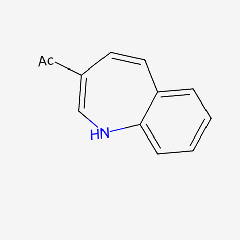 CC(=O)C1=CNc2ccccc2C=C1